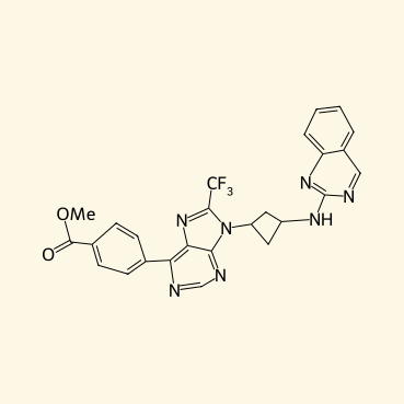 COC(=O)c1ccc(-c2ncnc3c2nc(C(F)(F)F)n3C2CC(Nc3ncc4ccccc4n3)C2)cc1